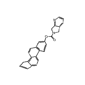 O=C(Oc1ccc2c(ccc3c4c(ccc32)C=CC4)c1)N1Cc2cccnc2C1